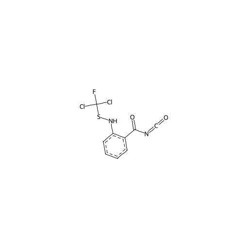 O=C=NC(=O)c1ccccc1NSC(F)(Cl)Cl